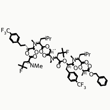 CN[C@@H](CC(C)(C)F)C(=O)O[C@H](CCc1ccc(C(F)(F)F)cc1)C(=O)N(C)[C@@H](CC(C)C)C(=O)O[C@H](C)C(=O)N(C)[C@@H](CC(C)(C)F)C(=O)O[C@H](Cc1ccc(C(F)(F)F)cc1)C(=O)N(C)[C@@H](CC(C)C)C(=O)O[C@H](C)C(=O)OCc1ccccc1